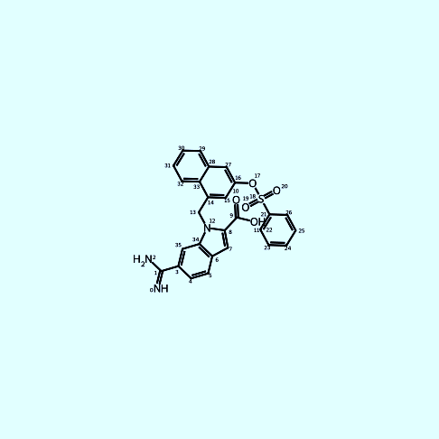 N=C(N)c1ccc2cc(C(=O)O)n(Cc3cc(OS(=O)(=O)c4ccccc4)cc4ccccc34)c2c1